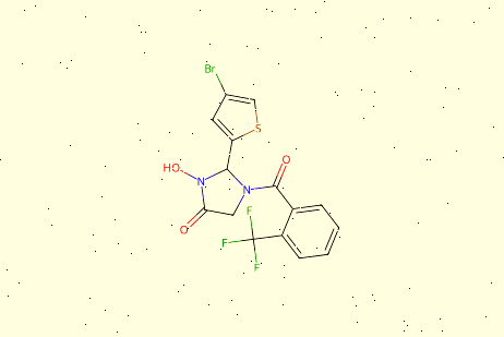 O=C1CN(C(=O)c2ccccc2C(F)(F)F)C(c2cc(Br)cs2)N1O